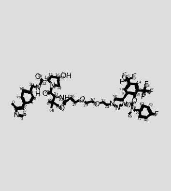 Cc1ncsc1-c1ccc(CNC(=O)[C@@H]2C[C@@H](O)CN2C(=O)[C@@H](NC(=O)CCOCCOCCn2cc(-c3cc(C(F)(F)F)cc(C(F)(F)F)c3OC(=O)N(C)c3ccc(F)cc3)nn2)C(C)(C)C)cc1